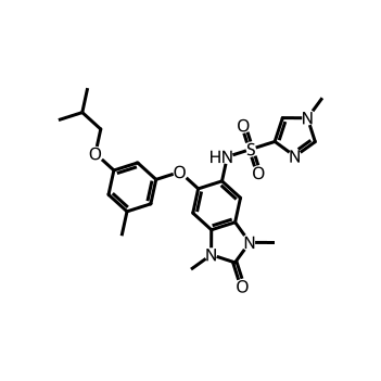 Cc1cc(OCC(C)C)cc(Oc2cc3c(cc2NS(=O)(=O)c2cn(C)cn2)n(C)c(=O)n3C)c1